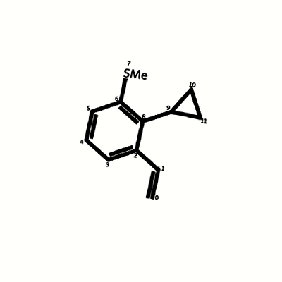 C=[C]c1cccc(SC)c1C1CC1